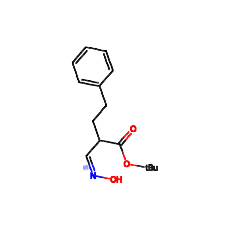 CC(C)(C)OC(=O)C(/C=N\O)CCc1ccccc1